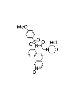 COc1ccc(S(=O)(=O)N(C(=O)CN2CCOCC2)c2ccccc2C=Cc2cc[n+]([O-])cc2)cc1.Cl